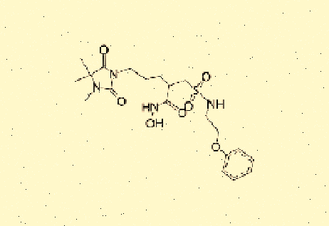 CN1C(=O)N(CCCC(CS(=O)(=O)NCCOc2ccccc2)C(=O)NO)C(=O)C1(C)C